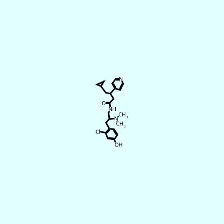 CN(C)C(CNC(=O)CC(CC1CC1)c1ccncc1)Cc1ccc(O)cc1Cl